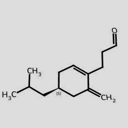 C=C1C[C@@H](CC(C)C)CC=C1CCC=O